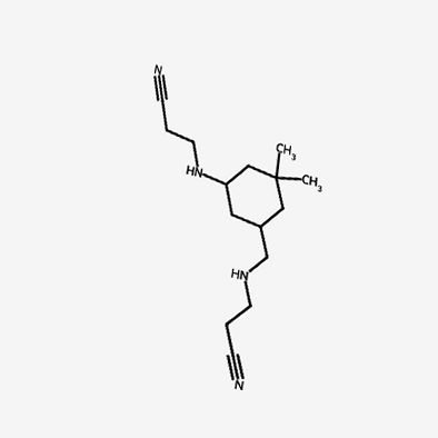 CC1(C)CC(CNCCC#N)CC(NCCC#N)C1